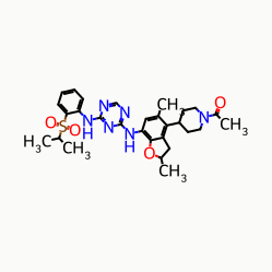 CC(=O)N1CCC(c2c(C)cc(Nc3ncnc(Nc4ccccc4S(=O)(=O)C(C)C)n3)c3c2CC(C)O3)CC1